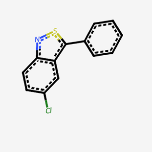 Clc1ccc2nsc(-c3ccccc3)c2c1